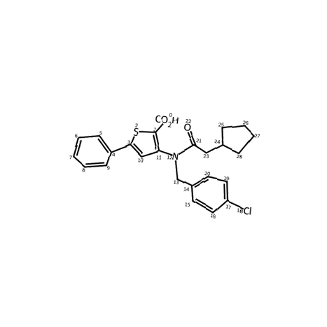 O=C(O)c1sc(-c2ccccc2)cc1N(Cc1ccc(Cl)cc1)C(=O)CC1CCCC1